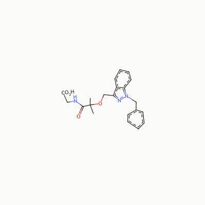 CC(C)(OCc1nn(Cc2ccccc2)c2ccccc12)C(=O)NCC(=O)O